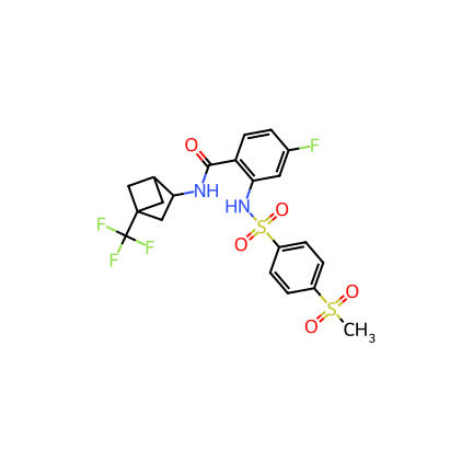 CS(=O)(=O)c1ccc(S(=O)(=O)Nc2cc(F)ccc2C(=O)NC2CC3(C(F)(F)F)CC2C3)cc1